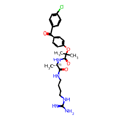 C[C@H](NC(=O)C(C)(C)Oc1ccc(C(=O)c2ccc(Cl)cc2)cc1)C(=O)NCCCCNC(=N)N